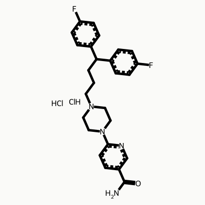 Cl.Cl.NC(=O)c1ccc(N2CCN(CCCC(c3ccc(F)cc3)c3ccc(F)cc3)CC2)nc1